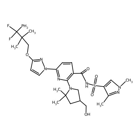 Cc1nn(C)cc1S(=O)(=O)NC(=O)c1ccc(-n2ccc(OCC(C)(C)C(F)(F)P)n2)nc1N1CC(CO)CC1(C)C